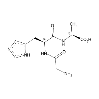 C[C@H](NC(=O)[C@H](Cc1cnc[nH]1)NC(=O)CN)C(=O)O